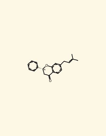 CC(C)=CCc1ccc2c(c1)O[C@@H](c1ccccc1)CC2=O